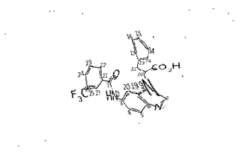 O=C(Nc1ccc2ncn(C(Cc3ccccc3)C(=O)O)c2c1)c1cccc(C(F)(F)F)c1